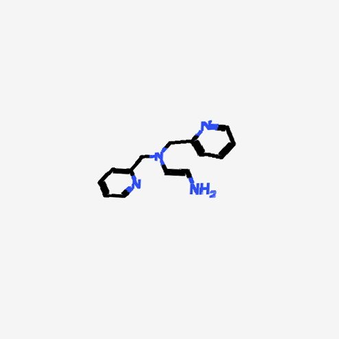 NC=CN(Cc1ccccn1)Cc1ccccn1